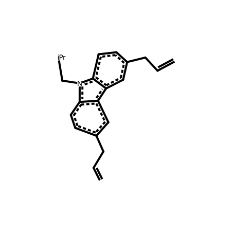 C=CCc1ccc2c(c1)c1cc(CC=C)ccc1n2CC(C)C